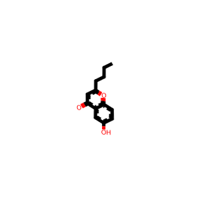 CCCCc1cc(=O)c2cc(O)ccc2o1